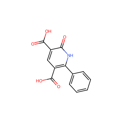 O=C(O)c1cc(C(=O)O)c(=O)[nH]c1-c1ccccc1